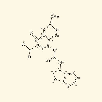 CCC(CC)n1cc(OC(=O)NC2COc3ccccc32)c2cnc(OC)cc2c1=O